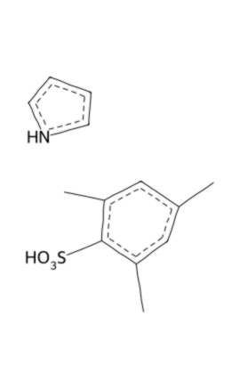 Cc1cc(C)c(S(=O)(=O)O)c(C)c1.c1cc[nH]c1